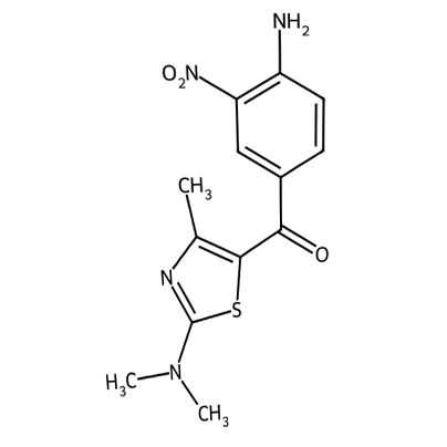 Cc1nc(N(C)C)sc1C(=O)c1ccc(N)c([N+](=O)[O-])c1